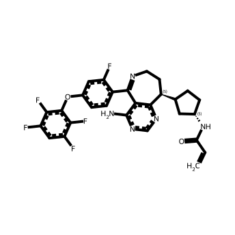 C=CC(=O)N[C@H]1CCC([C@@H]2CCN=C(c3ccc(Oc4c(F)c(F)cc(F)c4F)cc3F)c3c(N)ncnc32)C1